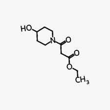 CCOC(=O)CC(=O)N1CCC(O)CC1